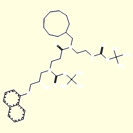 CC(C)(C)OC(=O)NCCN(CC1CCCCCCCC1)C(=O)CCN(C[C@H](O)COc1cccc2ccccc12)C(=O)OC(C)(C)C